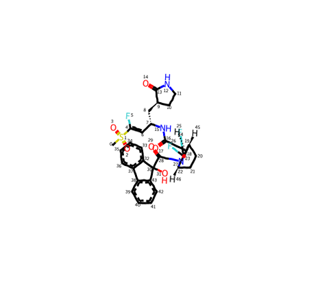 CS(=O)(=O)/C(F)=C/[C@H](C[C@@H]1CCNC1=O)NC(=O)[C@H]1[C@@H]2CC[C@@H](CC2(F)F)N1C(=O)C1(O)c2ccccc2-c2ccccc21